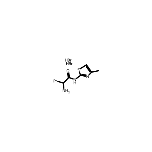 Br.Br.Cc1csc(NC(=O)C(N)C(C)C)n1